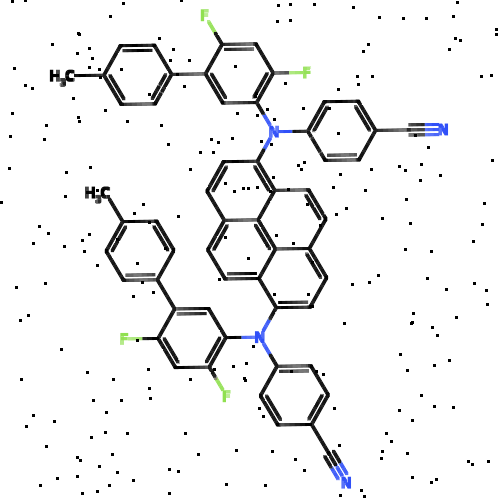 Cc1ccc(-c2cc(N(c3ccc(C#N)cc3)c3ccc4ccc5c(N(c6ccc(C#N)cc6)c6cc(-c7ccc(C)cc7)c(F)cc6F)ccc6ccc3c4c65)c(F)cc2F)cc1